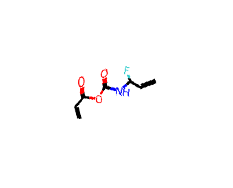 C=CC(=O)OC(=O)NC(F)C=C